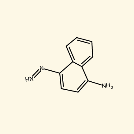 N=Nc1ccc(N)c2ccccc12